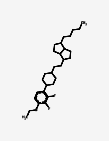 CCCCCC1CCC2C(CCC3CCC(c4ccc(OCC)c(F)c4F)CC3)CCC12